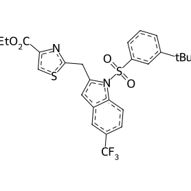 CCOC(=O)c1csc(Cc2cc3cc(C(F)(F)F)ccc3n2S(=O)(=O)c2cccc(C(C)(C)C)c2)n1